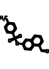 Cc1ccc(S(=O)(=O)Oc2ccc3c(C=O)cccc3c2)cc1